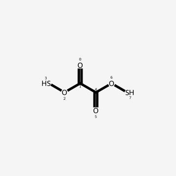 O=C(OS)C(=O)OS